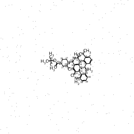 CC(C)c1cccc(CN)c1-n1c(=O)nc(N2CCN(C(=O)OC(C)(C)C)C[C@@H]2C)c2cc(Cl)c(-c3c(N)cccc3F)nc21